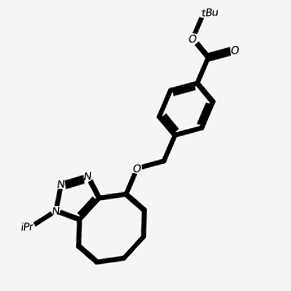 CC(C)n1nnc2c1CCCCCC2OCc1ccc(C(=O)OC(C)(C)C)cc1